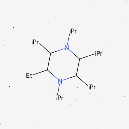 CCC1C(C(C)C)N(C(C)C)C(C(C)C)C(C(C)C)N1C(C)C